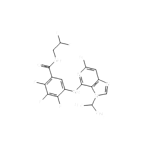 CC(C)n1cnc2cc(Br)nc(Nc3cc(C(=O)NCC(F)F)c(F)c(F)c3F)c21